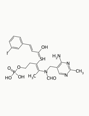 C/C(=C(CCOP(=O)(O)O)/[SH]=C(O)\C=C\c1cccc(I)c1)N(C=O)Cc1cnc(C)nc1N